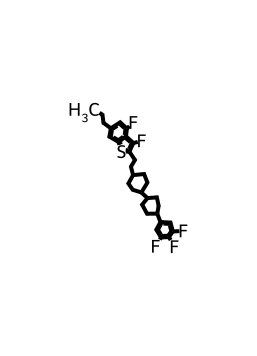 CCCc1cc(F)c2c(F)c(CCC3CCC(C4CCC(c5cc(F)c(F)c(F)c5)CC4)CC3)sc2c1